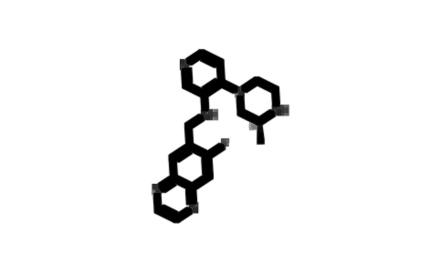 C[C@H]1CN(c2ccncc2NCc2cc3nccnc3cc2F)CCN1